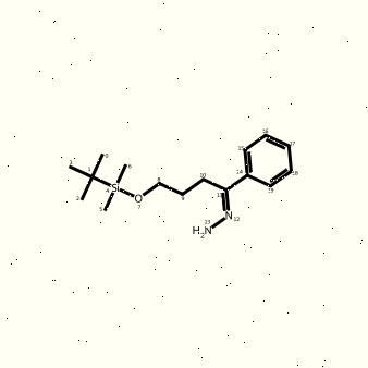 CC(C)(C)[Si](C)(C)OCCCC(=NN)c1ccccc1